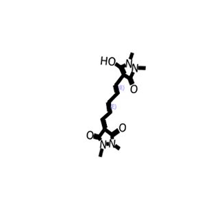 CN1C(=O)C(=C/C=C/C=C/c2c(O)n(C)n(C)c2=O)C(=O)N1C